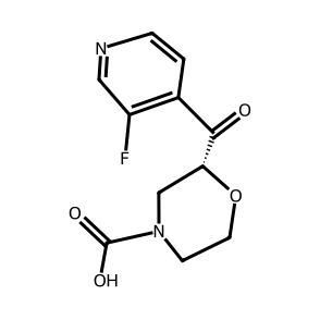 O=C(c1ccncc1F)[C@H]1CN(C(=O)O)CCO1